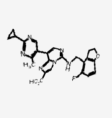 Cc1nc(C2CC2)ncc1-c1cnc(NCc2c(F)ccc3c2CCO3)n2cc(C(=O)O)nc12